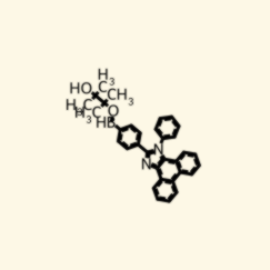 CC(C)(O)C(C)(C)OBc1ccc(-c2nc3c4ccccc4c4ccccc4c3n2-c2ccccc2)cc1